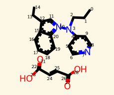 CCCN(c1ccncc1)n1cc(CC)c2ccccc21.O=C(O)C=CC(=O)O